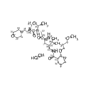 COCCCOc1ncccc1C(=O)NC[C@@H](C[C@H](N)[C@@H](O)C[C@H](C(=O)NCCN1CCOCC1)C(C)C)C(C)C.Cl.Cl